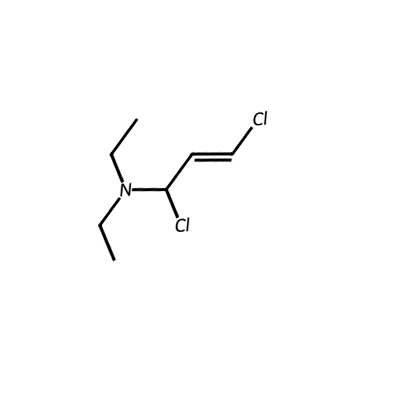 CCN(CC)C(Cl)C=CCl